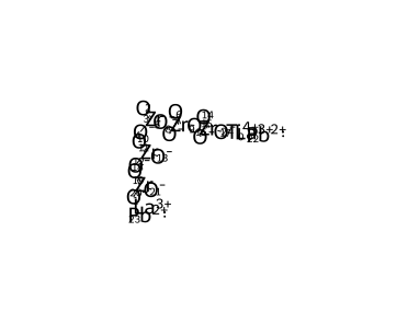 [La+3].[La+3].[O]=[Zr]([O-])[O-].[O]=[Zr]([O-])[O-].[O]=[Zr]([O-])[O-].[O]=[Zr]([O-])[O-].[O]=[Zr]([O-])[O-].[Pb+2].[Pb+2].[Ti+4]